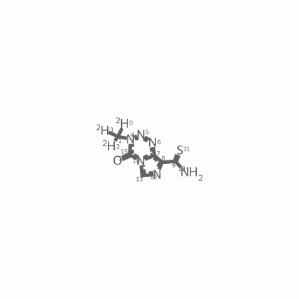 [2H]C([2H])([2H])n1nnc2c(C(N)=S)ncn2c1=O